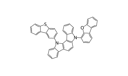 c1ccc2c(c1)oc1c(-n3c4ccccc4c4c3ccc3c5ccccc5n(-c5ccc6sc7ccccc7c6c5)c34)cccc12